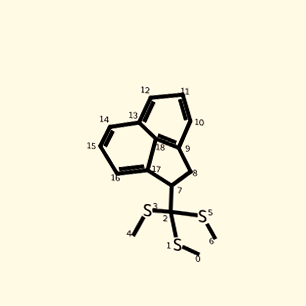 CSC(SC)(SC)C1Cc2cccc3cccc1c23